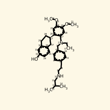 CCN(Cc1ccc(CCNCC(C)C)cc1)c1cc(OC)c(OC)cc1[C@@H]1CCc2cc(O)ccc2C1